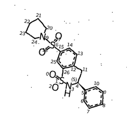 O=S1(=O)N[C@H](c2ccccc2)Cc2ccc(S(=O)(=O)N3CCCCC3)cc21